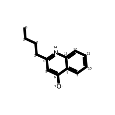 CCCCc1cc([O])c2ccccc2n1